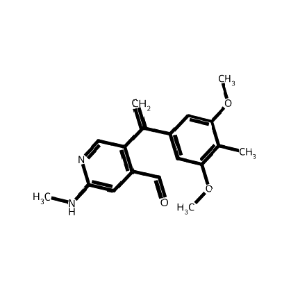 C=C(c1cc(OC)c(C)c(OC)c1)c1cnc(NC)cc1C=O